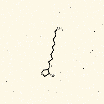 CCCCCCCCCCOC1CSCC1O